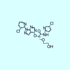 O=C(Nc1ccc(Cl)cn1)[C@H](COCCO)Oc1ncnc2c1cnn2-c1ncccc1Cl